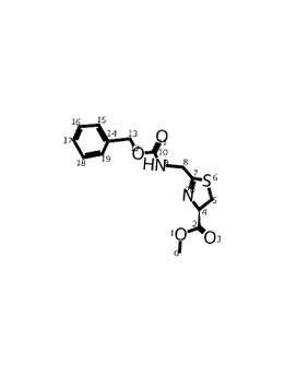 COC(=O)[C@@H]1CSC(CNC(=O)OCc2ccccc2)=N1